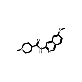 CSc1ccc2cnc(NC(=O)C3CCN(C)CC3)cc2c1